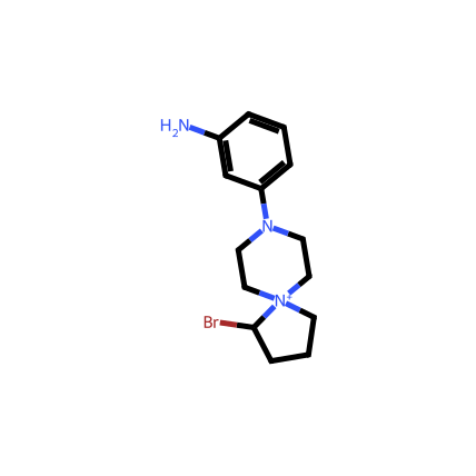 Nc1cccc(N2CC[N+]3(CCCC3Br)CC2)c1